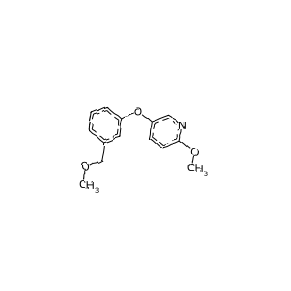 COCc1cccc(Oc2ccc(OC)nc2)c1